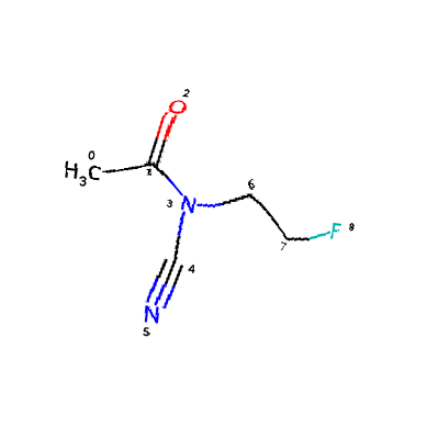 CC(=O)N(C#N)CCF